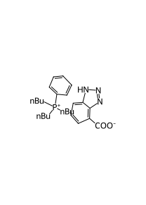 CCCC[P+](CCCC)(CCCC)c1ccccc1.O=C([O-])c1cccc2[nH]nnc12